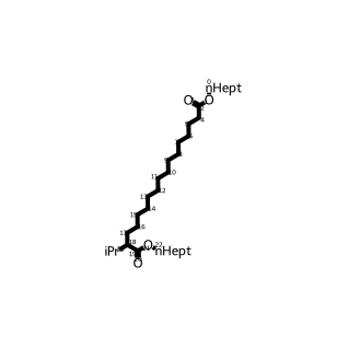 CCCCCCCOC(=O)CCCCCCCCCCCCCCC(C(=O)OCCCCCCC)C(C)C